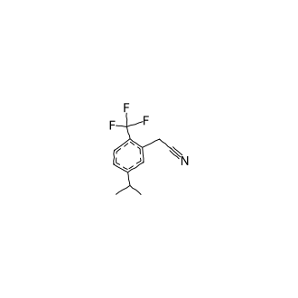 CC(C)c1ccc(C(F)(F)F)c(CC#N)c1